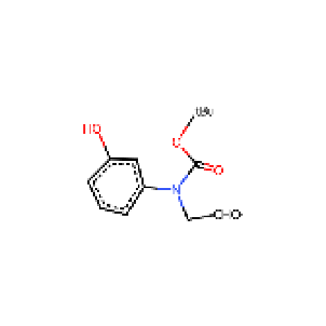 CC(C)(C)OC(=O)N(C[C]=O)c1cccc(O)c1